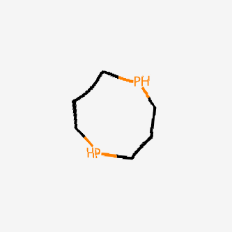 C1CPCCCPC1